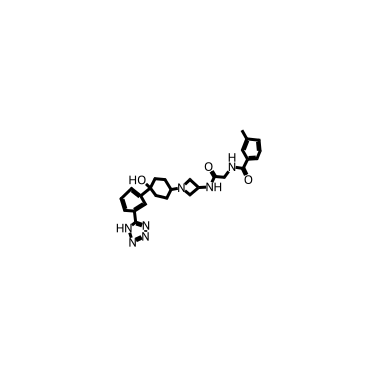 Cc1cccc(C(=O)NCC(=O)NC2CN(C3CCC(O)(c4cccc(-c5nnn[nH]5)c4)CC3)C2)c1